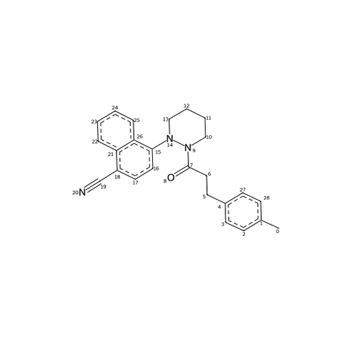 Cc1ccc(CCC(=O)N2CCCCN2c2ccc(C#N)c3ccccc23)cc1